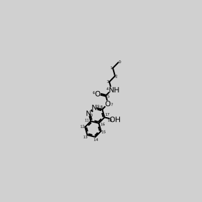 CCCCNC(=O)Oc1nnc2ccccc2c1O